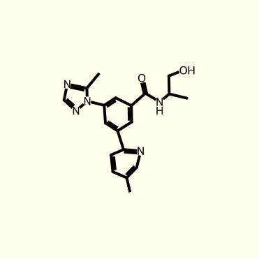 Cc1ccc(-c2cc(C(=O)NC(C)CO)cc(-n3ncnc3C)c2)nc1